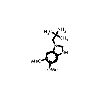 COc1cc2c(cc1OC)N(CC(C)(C)N)[CH]N2